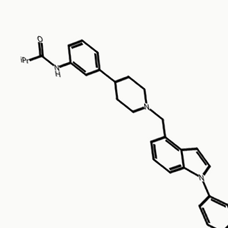 CC(C)C(=O)Nc1cccc(C2CCN(Cc3cccc4c3ccn4-c3ccncc3)CC2)c1